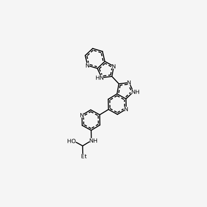 CCC(O)Nc1cncc(-c2cnc3[nH]nc(-c4nc5cccnc5[nH]4)c3c2)c1